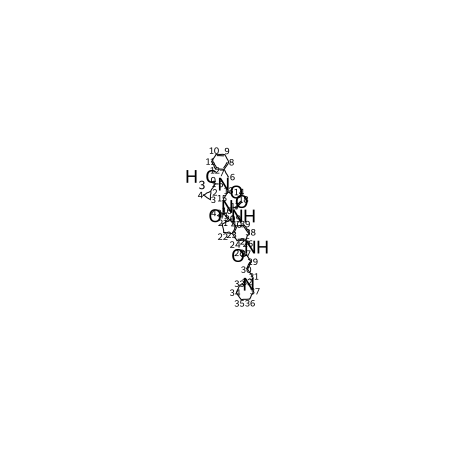 C[C@@H](C1CC1)N(Cc1ccccc1)C(=O)CN1C(=O)NC2(CCc3cc(NC(=O)C=CCN4CCCCC4)ccc32)C1=O